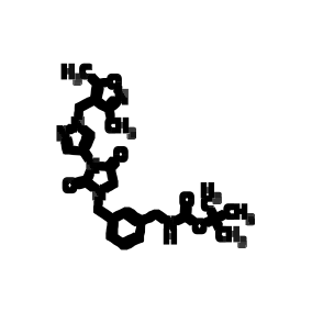 Cc1noc(C)c1Cn1cc(N2C(=O)CN(Cc3cccc(CNC(=O)OC(C)(C)C)c3)C2=O)cn1